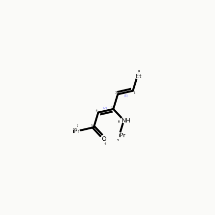 CC/C=C/C(=C/C(=O)C(C)C)NC(C)C